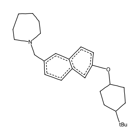 CC(C)(C)C1CCC(Oc2ccc3cc(CN4CCCCCC4)ccc3c2)CC1